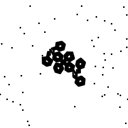 c1ccc(CN(Cc2ccccc2)c2ccc(C(c3ccccc3)(c3ccccc3)c3ccc(N(Cc4ccccc4)Cc4ccccc4)cc3)cc2)cc1